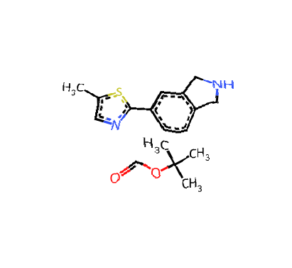 CC(C)(C)OC=O.Cc1cnc(-c2ccc3c(c2)CNC3)s1